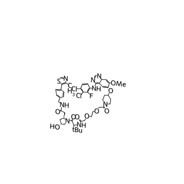 COc1cc2ncnc(Nc3ccc(Cl)c(Cl)c3F)c2cc1OC1CCN(C(=O)COCCOCC(=O)N[C@H](C(=O)N2C[C@H](O)C[C@H]2CC(=O)NCc2ccc(-c3scnc3C)cc2)C(C)(C)C)CC1